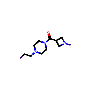 O=C(C1CN(I)C1)N1CCN(CCI)CC1